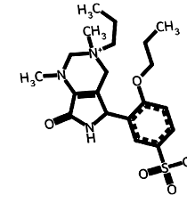 CCCOc1ccc(S(=O)(=O)Cl)cc1C1NC(=O)C2=C1C[N+](C)(CCC)CN2C